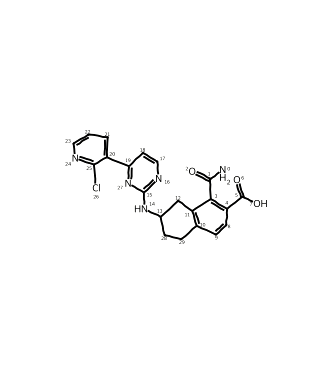 NC(=O)c1c(C(=O)O)ccc2c1CC(Nc1nccc(-c3cccnc3Cl)n1)CC2